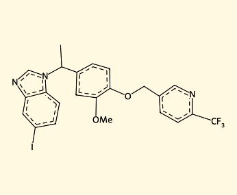 COc1cc(C(C)n2cnc3cc(I)ccc32)ccc1OCc1ccc(C(F)(F)F)nc1